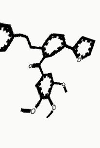 COc1cc(C(=O)c2cc(-c3ccco3)ccc2CCc2ccccc2)cc(OC)c1OC